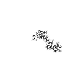 CC(=O)C[C@@H]1C[C@@]2(CO2)[C@H](O)[C@@H](/C=C/C(C)=C/C[C@@H]2O[C@H](C)[C@H](NC(=O)/C=C\[C@H](C)OC(C)=O)C[C@@H]2C)O1